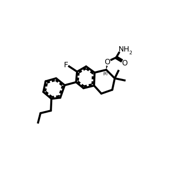 CCCc1cccc(-c2cc3c(cc2F)[C@H](OC(N)=O)C(C)(C)CC3)c1